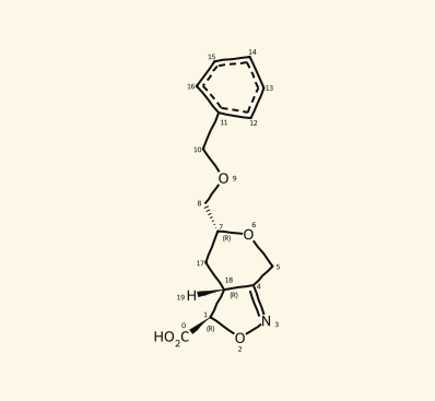 O=C(O)[C@@H]1ON=C2CO[C@@H](COCc3ccccc3)C[C@H]21